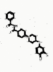 O=C(NC(=O)C1CCC(N2CCC(Oc3ccc(Cl)c(Cl)c3)CC2)CC1)c1ccccc1